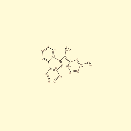 CC(=O)Oc1c(-c2ccccc2)c(-c2ccccc2)n2ccc(C#N)cc12